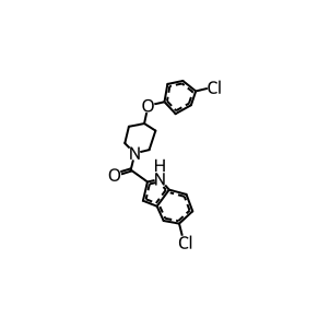 O=C(c1cc2cc(Cl)ccc2[nH]1)N1CCC(Oc2ccc(Cl)cc2)CC1